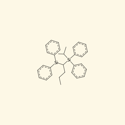 CCCC([Si](c1ccccc1)c1ccccc1)[Si](c1ccccc1)(c1ccccc1)C(C)C